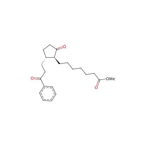 COC(=O)CCCCCC[C@@H]1C(=O)CC[C@H]1CCC(=O)c1ccccc1